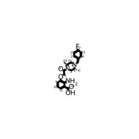 C[C@@H]1CN(C(=O)COc2cccc(C(=O)O)c2N)[C@@H](C)CN1Cc1ccc(F)cc1